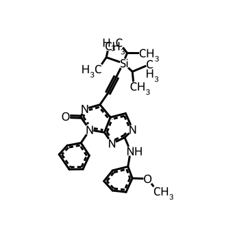 COc1ccccc1Nc1ncc2c(C#C[Si](C(C)C)(C(C)C)C(C)C)nc(=O)n(-c3ccccc3)c2n1